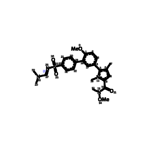 COc1ccc(-c2c(C)cc(C(=O)N(C)OC)n2C)cc1-c1ccc(S(=O)(=O)/N=C/N(C)C)cc1